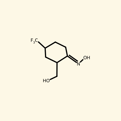 OCC1CC(C(F)(F)F)CCC1=NO